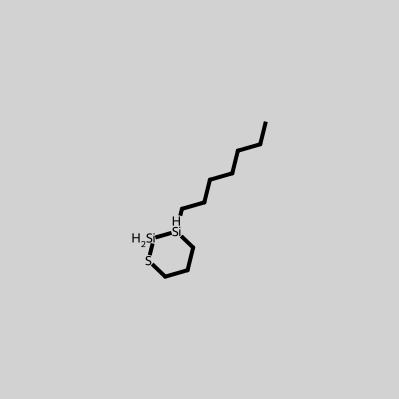 CCCCCCC[SiH]1CCCS[SiH2]1